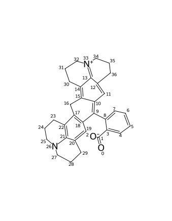 O=C([O-])c1ccccc1C1=c2cc3c4c(c2Cc2c1cc1c5c2CCCN5CCC1)CCC[N+]=4CCC3